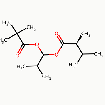 CC(C)C(OC(=O)[C@@H](C)C(C)C)OC(=O)C(C)(C)C